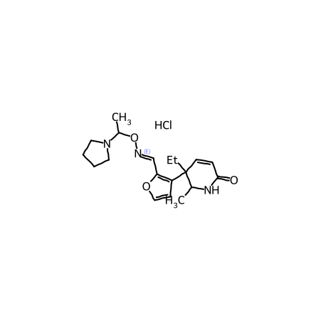 CCC1(c2ccoc2/C=N/OC(C)N2CCCC2)C=CC(=O)NC1C.Cl